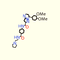 COc1ccc(-c2ccnc3cc(C(=O)Nc4ccc(C(=O)NCCN5CCCC5)cc4)nn23)cc1OC